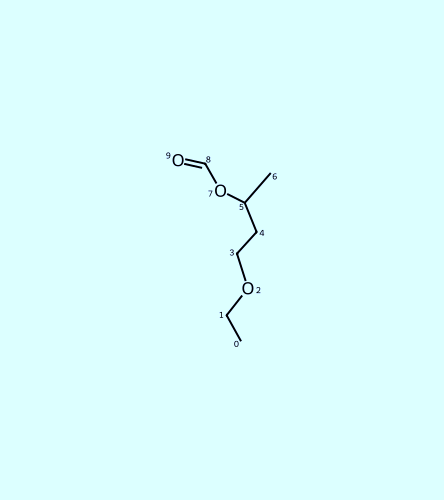 CCOCCC(C)OC=O